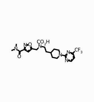 CN(C)C(=O)c1cc(CN(CCC2CCN(c3nccc(C(F)(F)F)n3)CC2)C(=O)O)on1